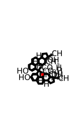 C#C[C@]1(O)CC[C@H]2[C@@H]3CCc4cc(O)cc(C(CC(=O)O)(c5cc(O)cc6c5[C@H]5CCC7(C)[C@@H](CC[C@@]7(O)C#C)[C@@H]5CC6)[C@H](N)C(=O)O)c4[C@H]3CCC21C